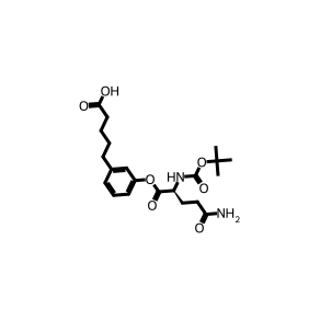 CC(C)(C)OC(=O)N[C@@H](CCC(N)=O)C(=O)Oc1cccc(CCCCC(=O)O)c1